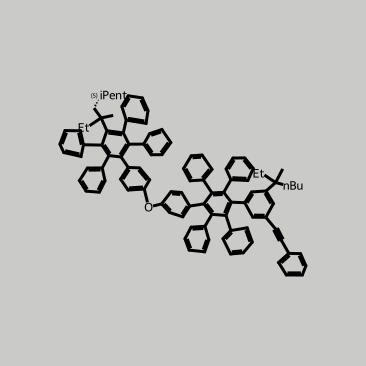 CCCCC(C)(CC)c1cc(C#Cc2ccccc2)cc(-c2c(-c3ccccc3)c(-c3ccccc3)c(-c3ccc(Oc4ccc(-c5c(-c6ccccc6)c(-c6ccccc6)c(C(C)(CC)C[C@@H](C)CCC)c(-c6ccccc6)c5-c5ccccc5)cc4)cc3)c(-c3ccccc3)c2-c2ccccc2)c1